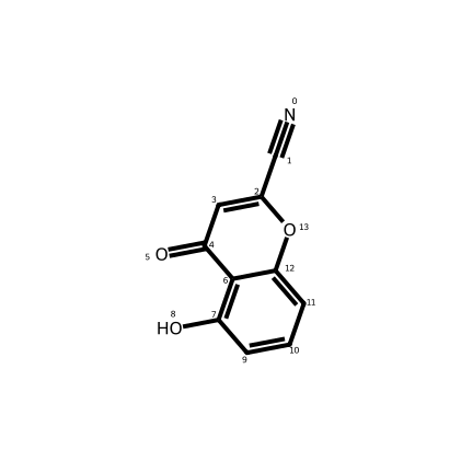 N#Cc1cc(=O)c2c(O)cccc2o1